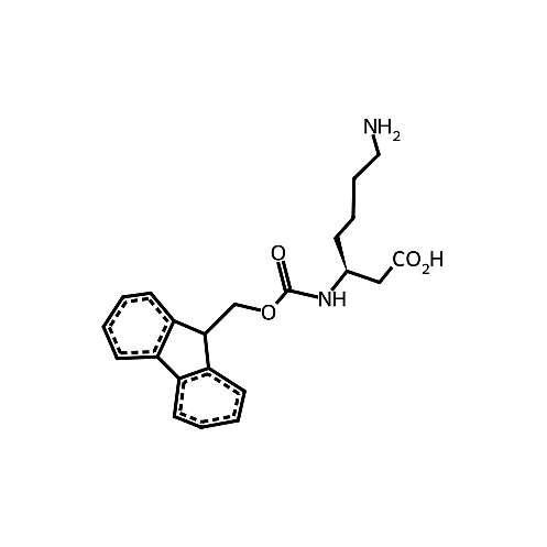 NCCCC[C@@H](CC(=O)O)NC(=O)OCC1c2ccccc2-c2ccccc21